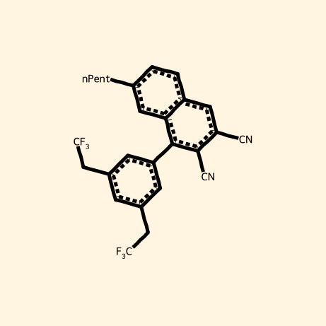 CCCCCc1ccc2cc(C#N)c(C#N)c(-c3cc(CC(F)(F)F)cc(CC(F)(F)F)c3)c2c1